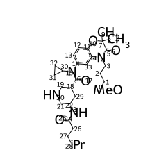 COCCCN1C(=O)C(C)(C)Oc2ccc(N(C(=O)[C@H]3CNC[C@@H](NC(=O)CCC(C)C)C3)C3CC3)cc21